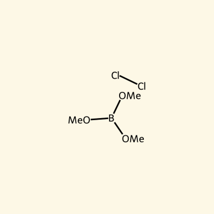 COB(OC)OC.ClCl